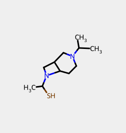 CC(C)N1CCC2C(C1)CN2C(C)S